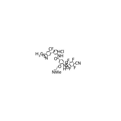 CNCCCOc1cc(C(=O)Nc2cccc(-c3cc4ncn(C)c4cc3C(F)(F)F)c2)ccc1NS(=O)(=O)c1c(F)c(F)c(C#N)c(F)c1F.Cl